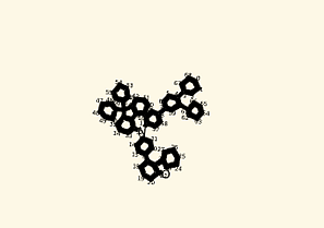 c1ccc(-c2ccc(-c3ccc(N(c4ccc(-c5cccc6oc7ccccc7c56)cc4)c4cccc5c4-c4ccccc4C5(c4ccccc4)c4ccccc4)cc3)cc2-c2ccccc2)cc1